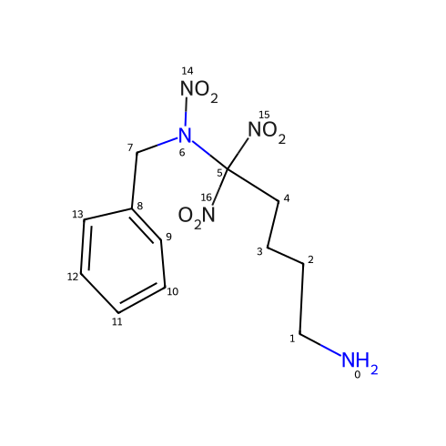 NCCCCC(N(Cc1ccccc1)[N+](=O)[O-])([N+](=O)[O-])[N+](=O)[O-]